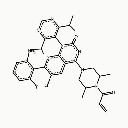 C=CC(=O)N1C(C)CN(c2nc(=O)n(-c3c(C(C)C)ncnc3C(C)C)c3nc(-c4c(N)cccc4F)c(Cl)cc23)CC1C